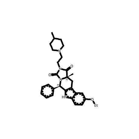 CCOc1ccc2[nH]c3c(c2c1)C[C@@]1(C)C(=O)N(CCN2CCC(C)CC2)C(=O)N1[C@@H]3c1ccccc1